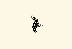 CO[C@H](C1CC1)C12Cc3cnn(-c4ccc(F)cc4)c3C=C1CCN(S(=O)(=O)c1ccc(Br)cc1)C2